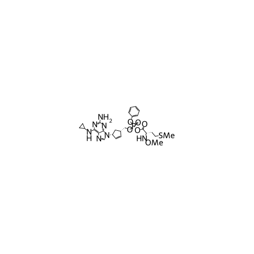 CON[C@@H](CCSC)C(=O)OP(=O)(OC[C@@H]1C=C[C@H](n2cnc3c(NC4CC4)nc(N)nc32)C1)Oc1ccccc1